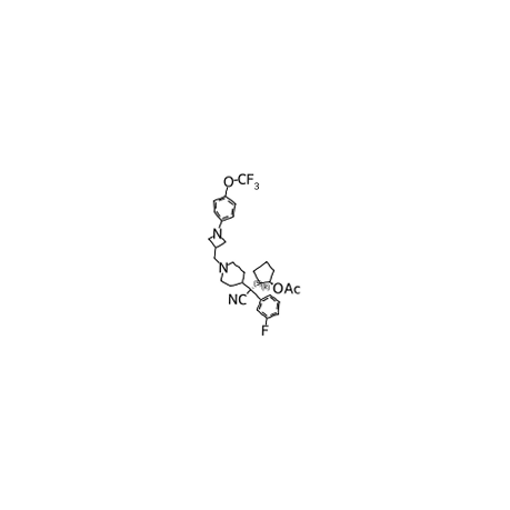 CC(=O)O[C@@H]1CCC[C@H]1C(C#N)(c1cccc(F)c1)C1CCN(CC2CN(c3ccc(OC(F)(F)F)cc3)C2)CC1